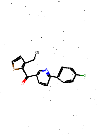 N#CCc1ccsc1C(=O)c1ccc(-c2ccc(Cl)cc2)nc1